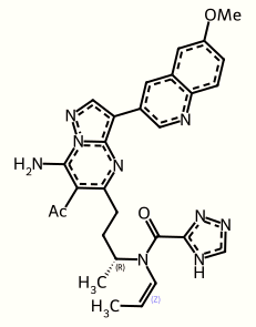 C/C=C\N(C(=O)c1nnc[nH]1)[C@H](C)CCc1nc2c(-c3cnc4ccc(OC)cc4c3)cnn2c(N)c1C(C)=O